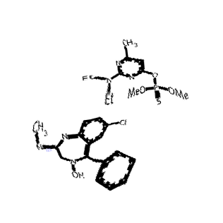 C/N=C1/CN(O)C(c2ccccc2)=c2cc(Cl)ccc2=N1.CCN(CC)c1nc(C)cc(OP(=S)(OC)OC)n1